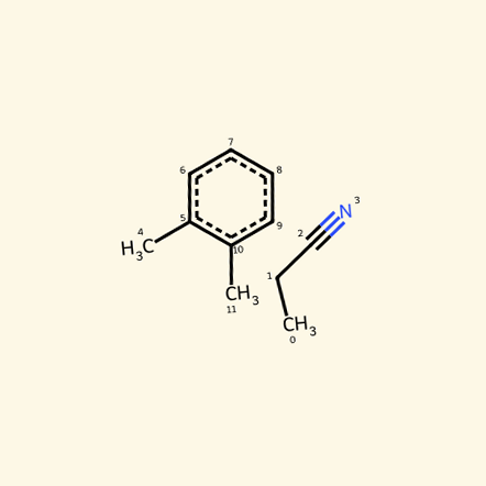 CCC#N.Cc1ccccc1C